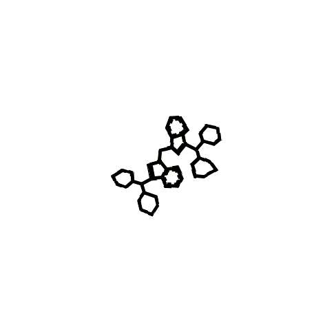 C1=C(C(C2CCCCC2)C2CCCCC2)c2ccccc2C1CC1C=C(C(C2CCCCC2)C2CCCCC2)c2ccccc21